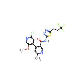 COc1cnc(Cl)cc1-c1cc(C)ncc1C(=O)Nc1nnc(CCC(F)(F)F)s1